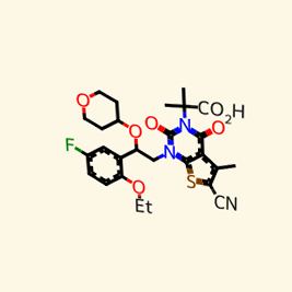 CCOc1ccc(F)cc1C(Cn1c(=O)n(C(C)(C)C(=O)O)c(=O)c2c(C)c(C#N)sc21)OC1CCOCC1